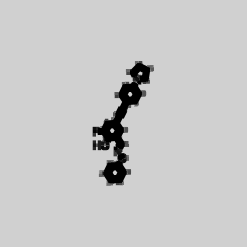 Oc1c(F)cc(C#Cc2ccc(N3CCCC3)cc2)cc1/C=N/Oc1ccccc1